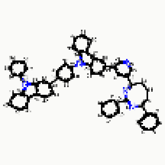 C1=C(c2ccccc2)/N=C(c2ccccc2)\N=C(\c2cncc(-c3ccc4c(c3)c3ccccc3n4-c3ccc(-c4ccc5c6ccccc6n(-c6ccccc6)c5c4)cc3)c2)CC\1